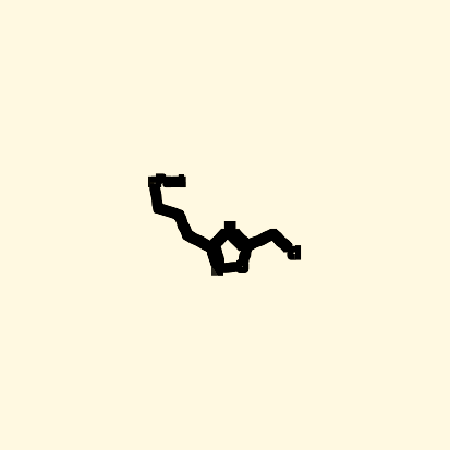 CCCCCCCCc1noc(CCl)n1